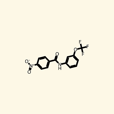 O=C(Nc1cccc(OC(F)(F)F)c1)c1ccc([N+](=O)[O-])cc1